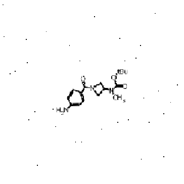 CN(C(=O)OC(C)(C)C)C1CN(C(=O)c2ccc(N)cc2)C1